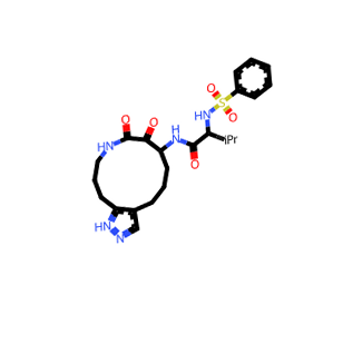 CC(C)C(NS(=O)(=O)c1ccccc1)C(=O)NC1CCCc2cn[nH]c2CCCNC(=O)C1=O